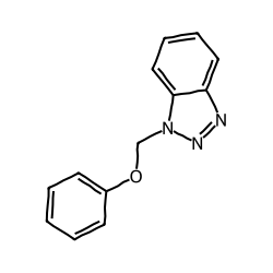 c1ccc(OCn2nnc3ccccc32)cc1